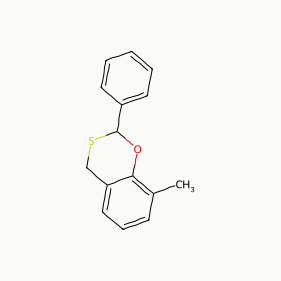 Cc1cccc2c1OC(c1ccccc1)SC2